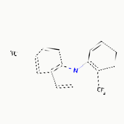 N#Cc1ccc2c(ccn2C2=C(C(F)(F)F)CCC=C2)c1